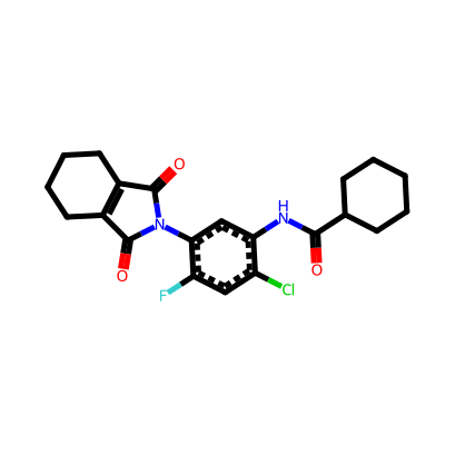 O=C(Nc1cc(N2C(=O)C3=C(CCCC3)C2=O)c(F)cc1Cl)C1CCCCC1